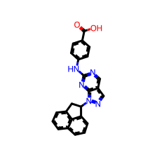 O=C(O)c1ccc(Nc2ncc3cnn(C4Cc5cccc6cccc4c56)c3n2)cc1